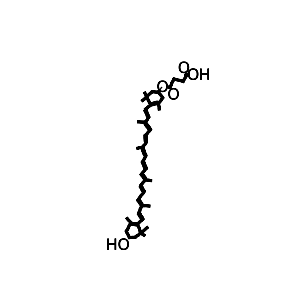 CC1=C(/C=C/C(C)=C/C=C/C(C)=C/C=C/C=C(C)/C=C/C=C(C)/C=C/C2=C(C)C[C@@H](OC(=O)CCC(=O)O)CC2(C)C)C(C)(C)C[C@H](O)C1